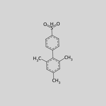 Cc1cc(C)c(-c2ccc([SH](=O)=O)cc2)c(C)c1